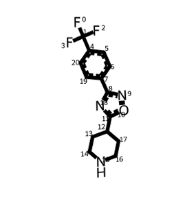 FC(F)(F)c1ccc(-c2noc(C3CCNCC3)n2)cc1